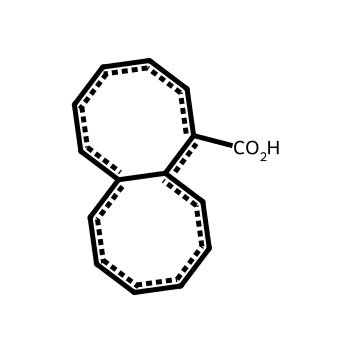 O=C(O)c1cccccc2ccccccc1-2